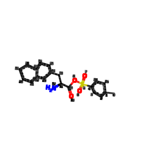 Cc1ccc(S(=O)(=O)OC(=O)[C@@H](N)Cc2ccc3ccccc3c2)cc1